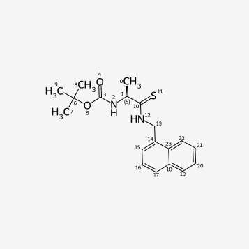 C[C@H](NC(=O)OC(C)(C)C)C(=S)NCc1cccc2ccccc12